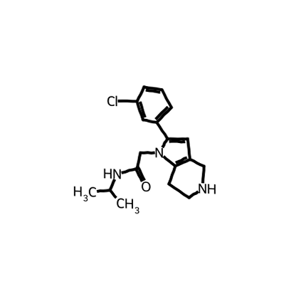 CC(C)NC(=O)Cn1c(-c2cccc(Cl)c2)cc2c1CCNC2